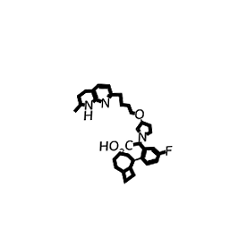 CC1CCc2ccc(CCCCO[C@@H]3CCN(C(C(=O)O)c4cc(F)ccc4[C@@H]4CCCCC5CCC54)C3)nc2N1